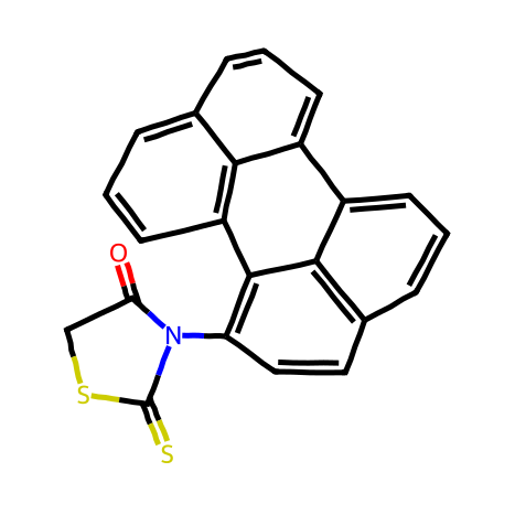 O=C1CSC(=S)N1c1ccc2cccc3c4cccc5cccc(c1c23)c54